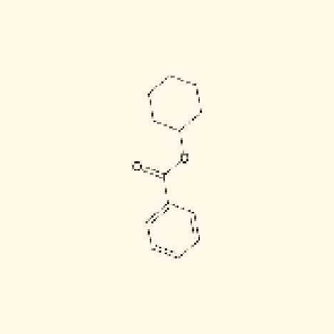 O=C(OC1CCCCC1)c1c[c]ccc1